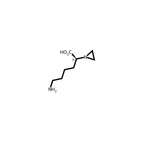 NCCCC[C@@H](C(=O)O)N1CC1